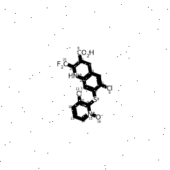 O=C(O)C1Cc2cc(Cl)c(Sc3c(Cl)ccc[n+]3[O-])cc2NC1C(F)(F)F